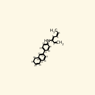 C=C/C(=C\C=C/C)Nc1ccc(-c2ccc3c(c2)CCC=C3)cc1